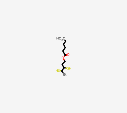 CCC(S)C(S)CCOC(=O)CCCCC(=O)O